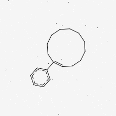 [c]1ccccc1/C1=C/CCCCCCCCCC1